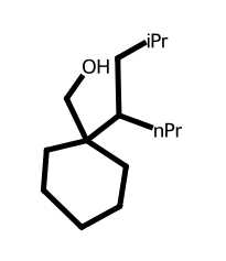 CCCC(CC(C)C)C1(CO)CCCCC1